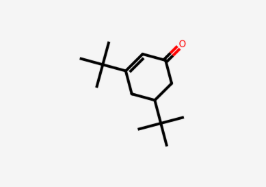 CC(C)(C)C1=CC(=O)CC(C(C)(C)C)C1